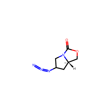 [N-]=[N+]=NC1C[C@H]2COC(=O)N2C1